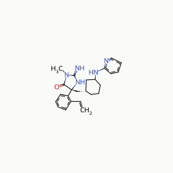 C=Cc1ccccc1[C@@]1(C[C@H]2CCCC(Nc3ccccn3)C2)NC(=N)N(C)C1=O